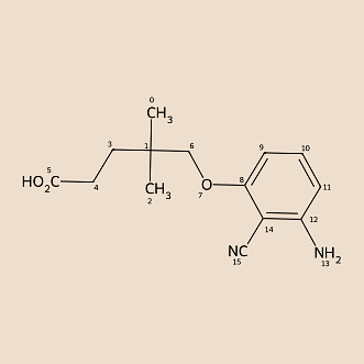 CC(C)(CCC(=O)O)COc1cccc(N)c1C#N